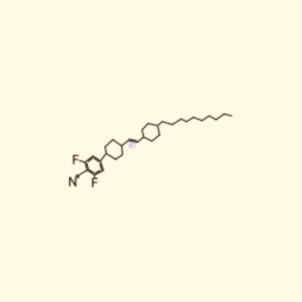 CCCCCCCCCCC1CCC(/C=C/C2CCC(c3cc(F)c(C#N)c(F)c3)CC2)CC1